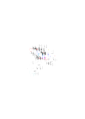 [2H]c1c([2H])c(F)c(F)c(C([2H])([2H])Sc2c([2H])c(=O)c3c([2H])c([2H])c([2H])c([2H])c3n2CC(=O)N(C([2H])([2H])c2c([2H])c([2H])c(-c3c([2H])c([2H])c(C(F)(F)F)c([2H])c3[2H])c([2H])c2C)C2([2H])C([2H])([2H])C([2H])([2H])N(C([2H])([2H])C([2H])([2H])OC)C([2H])([2H])C2([2H])[2H])c1[2H]